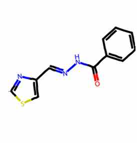 O=C(NN=Cc1cs[c]n1)c1ccccc1